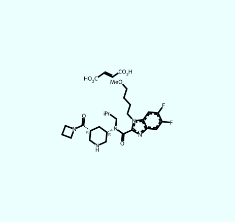 COCCCCn1c(C(=O)N(CC(C)C)[C@@H]2CNC[C@H](C(=O)N3CCC3)C2)nc2cc(F)c(F)cc21.O=C(O)C=CC(=O)O